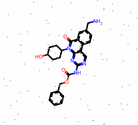 NCc1ccc2c(c1)c(=O)n(C1CCC(O)CC1)c1nc(NC(=O)OCc3ccccc3)ncc21